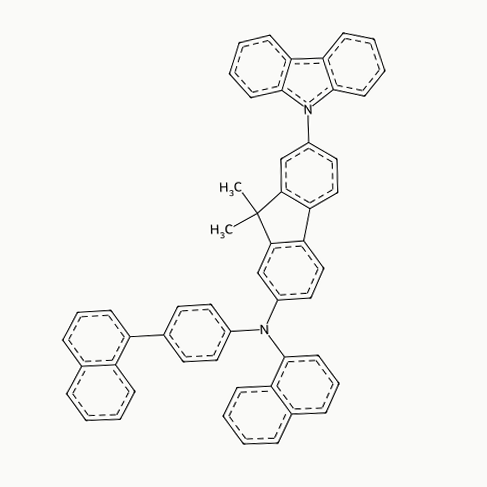 CC1(C)c2cc(N(c3ccc(-c4cccc5ccccc45)cc3)c3cccc4ccccc34)ccc2-c2ccc(-n3c4ccccc4c4ccccc43)cc21